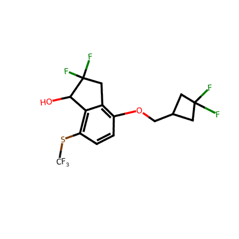 OC1c2c(SC(F)(F)F)ccc(OCC3CC(F)(F)C3)c2CC1(F)F